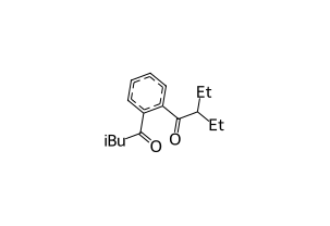 CCC(C)C(=O)c1ccccc1C(=O)C(CC)CC